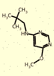 COc1cc(NCC(C)(C)C)ncn1